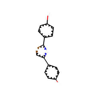 Oc1ccc(-c2csc(-c3ccc(O)cc3)n2)cc1